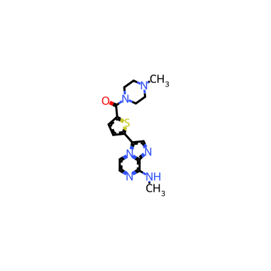 CNc1nccn2c(-c3ccc(C(=O)N4CCN(C)CC4)s3)cnc12